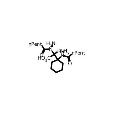 CCCCCC(=O)N(N)C1(C(C(=O)O)(C(C)CC)N(N)C(=O)CCCCC)CCCCC1